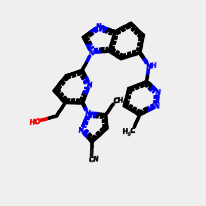 Cc1ccc(Nc2ccc3ncn(-c4ccc(CO)c(-n5nc(C#N)cc5C)n4)c3c2)nn1